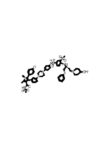 Cc1c(C(=O)NS(C)(=O)=O)c(-c2cccc(N3CCN(c4ccc(NS(=O)(=O)c5ccc(N[C@@H](CCN6CCC(O)CC6)CSc6ccccc6)c(S(C)(=O)=O)c5)cc4)CC3)c2)c(-c2ccc(Cl)cc2)n1C